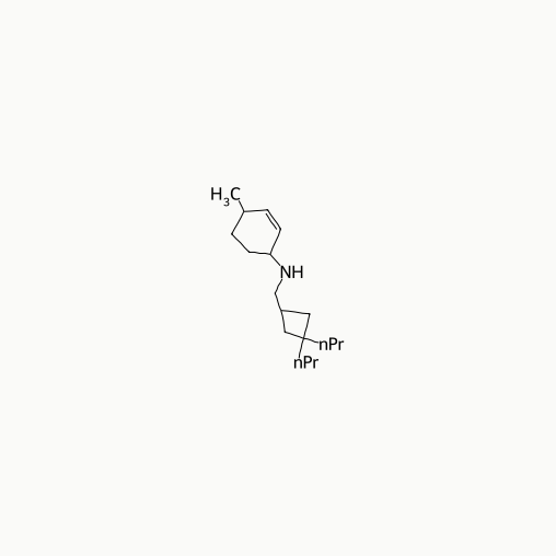 CCCC1(CCC)CC(CNC2C=CC(C)CC2)C1